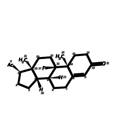 CC(=O)[C@H]1CC[C@H]2[C@@H]3CCC4=CC(=O)CC[C@]4(C)[C@@]3(F)CC[C@]12C